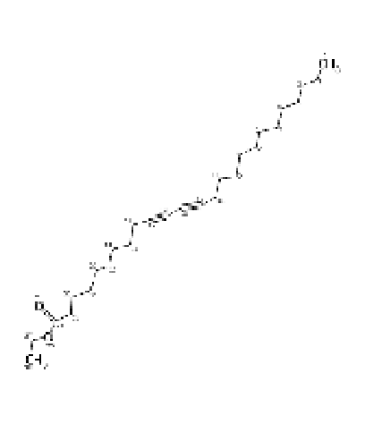 CCCCCCCCCCCCC#CC#CCCCCCCCCC(=O)OCC